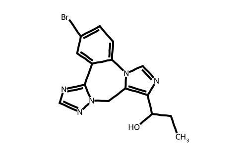 CCC(O)c1ncn2c1Cn1ncnc1-c1cc(Br)ccc1-2